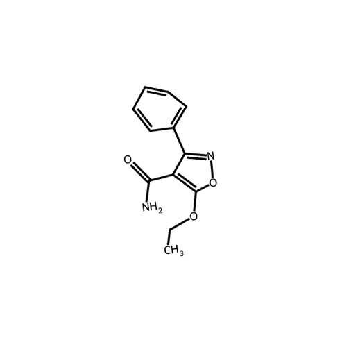 CCOc1onc(-c2ccccc2)c1C(N)=O